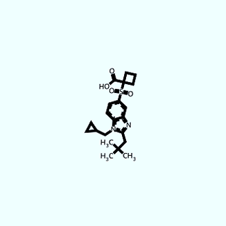 CC(C)(C)Cc1nc2cc(S(=O)(=O)C3(C(=O)O)CCC3)ccc2n1CC1CC1